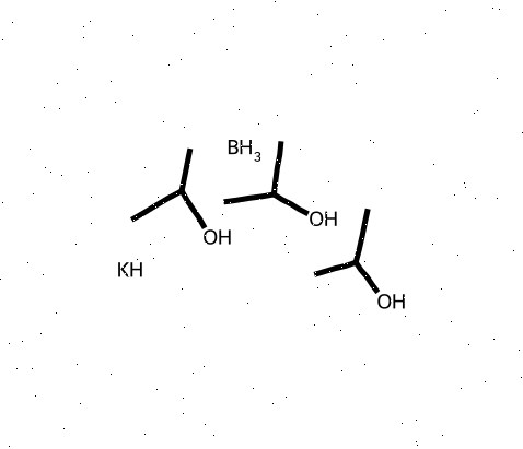 B.CC(C)O.CC(C)O.CC(C)O.[KH]